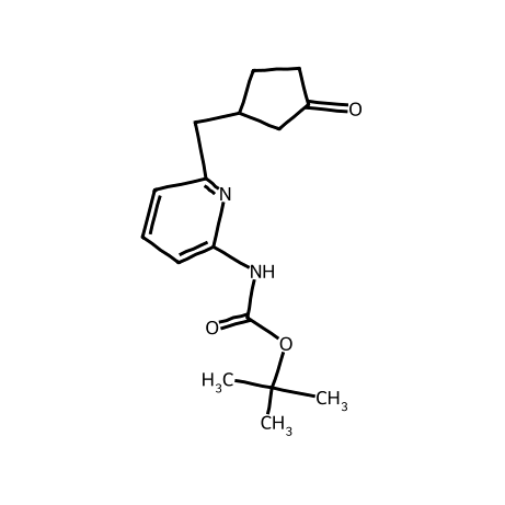 CC(C)(C)OC(=O)Nc1cccc(CC2CCC(=O)C2)n1